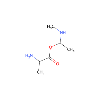 CNC(C)OC(=O)C(C)N